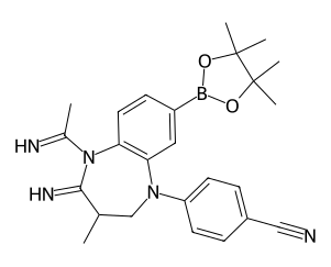 CC(=N)N1C(=N)C(C)CN(c2ccc(C#N)cc2)c2cc(B3OC(C)(C)C(C)(C)O3)ccc21